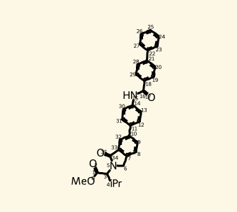 COC(=O)C(C(C)C)N1Cc2ccc(-c3ccc(NC(=O)c4ccc(-c5ccccc5)cc4)cc3)cc2C1=O